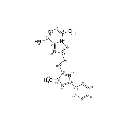 Cc1ncc(C)n2nc(C=Cc3nc(-c4ccccc4)nn3C)nc12